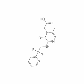 Cc1cnc(NCC(F)(F)c2ccccn2)c(=O)n1CC(=O)O